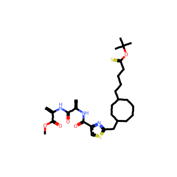 C=C(NC(=O)c1csc(CC2CCCCC(CCCCC(=S)OC(C)(C)C)CC2)n1)C(=O)NC(=C)C(=O)OC